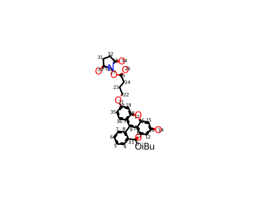 CC(C)COC(=O)c1ccccc1-c1c2ccc(=O)cc-2oc2cc(OCCCC(=O)ON3C(=O)CCC3=O)ccc12